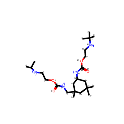 CC(C)NCCOC(=O)NCC1(C)CC(NC(=O)OCCNC(C)(C)C)CC(C)(C)C1